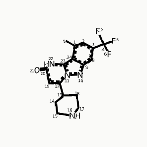 Cc1cc(C(F)(F)F)cc2nn3c(C4CCNCC4)cc(=O)[nH]c3c12